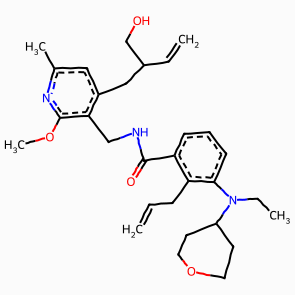 C=CCc1c(C(=O)NCc2c(CC(C=C)CO)cc(C)nc2OC)cccc1N(CC)C1CCOCC1